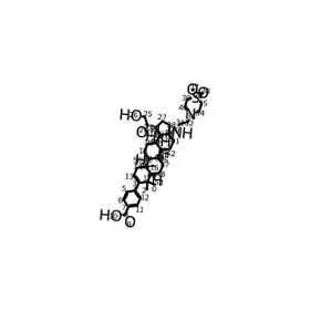 CC1(C)C(c2ccc(C(=O)O)cc2)=CC[C@]2(C)[C@H]3CC[C@@H]4[C@H]5[C@H](C(=O)CO)CC[C@]5(NCCN5CCS(=O)(=O)CC5)CC[C@@]4(C)[C@]3(C)CC[C@@H]12